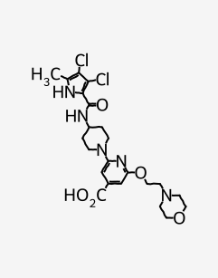 Cc1[nH]c(C(=O)NC2CCN(c3cc(C(=O)O)cc(OCCN4CCOCC4)n3)CC2)c(Cl)c1Cl